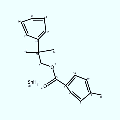 Cc1ccc(C(=O)OCC(C)(C)c2ccccc2)cc1.[SnH2]